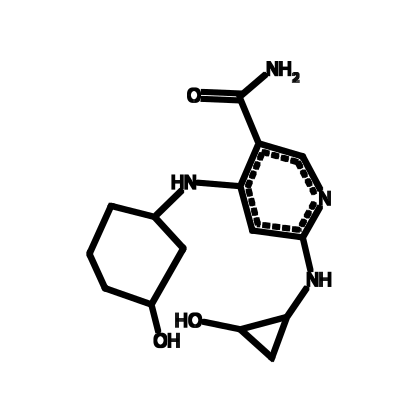 NC(=O)c1cnc(NC2CC2O)cc1NC1CCCC(O)C1